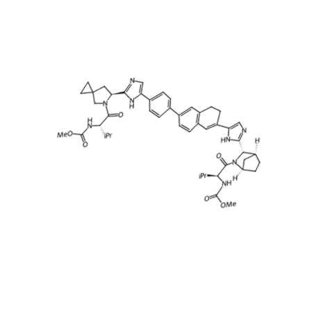 COC(=O)N[C@H](C(=O)N1CC2(CC2)C[C@H]1c1ncc(-c2ccc(-c3ccc4c(c3)CCC(c3cnc([C@@H]5[C@H]6CC[C@H](C6)N5C(=O)[C@@H](NC(=O)OC)C(C)C)[nH]3)=C4)cc2)[nH]1)C(C)C